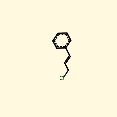 ClC/[C]=C/c1ccccc1